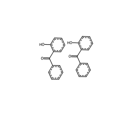 O=C(c1ccccc1)c1ccccc1O.O=C(c1ccccc1)c1ccccc1O